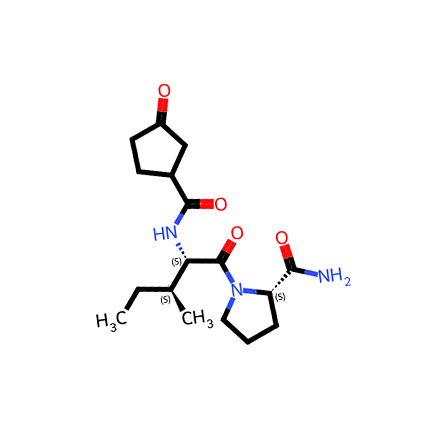 CC[C@H](C)[C@H](NC(=O)C1CCC(=O)C1)C(=O)N1CCC[C@H]1C(N)=O